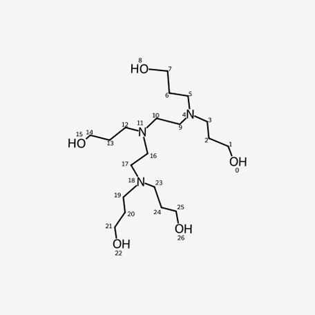 OCCCN(CCCO)CCN(CCCO)CCN(CCCO)CCCO